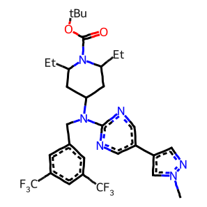 CCC1CC(N(Cc2cc(C(F)(F)F)cc(C(F)(F)F)c2)c2ncc(-c3cnn(C)c3)cn2)CC(CC)N1C(=O)OC(C)(C)C